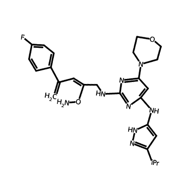 C=C(/C=C(/CNc1nc(Nc2cc(C(C)C)n[nH]2)cc(N2CCOCC2)n1)ON)c1ccc(F)cc1